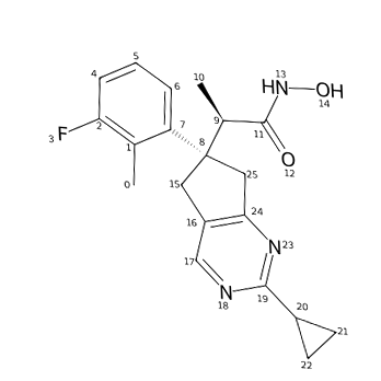 Cc1c(F)cccc1[C@@]1([C@@H](C)C(=O)NO)Cc2cnc(C3CC3)nc2C1